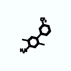 Cc1cc(-c2cccc(C(F)(F)F)c2)c(C)cc1N